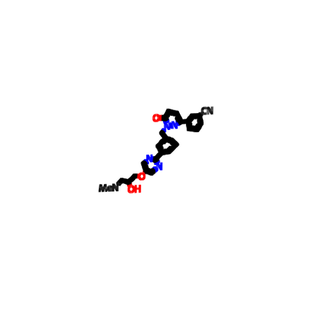 CNCC(O)COc1cnc(-c2cccc(Cn3nc(-c4cccc(C#N)c4)ccc3=O)c2)nc1